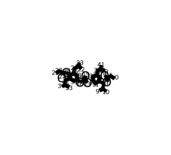 C=CC(=O)Oc1c(CC(=C)C)cc(OC(=O)Oc2cc(CC(=C)C)c(OC(=O)C=C)c(CC(=C)C)c2)cc1CC(=C)C